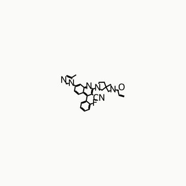 C=CC(=O)N1CC2(CCN(c3nc4cc(-n5cncc5C)ccc4c(-c4ccccc4F)c3C#N)C2)C1